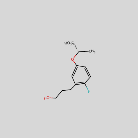 C[C@H](Oc1ccc(F)c(CCCO)c1)C(=O)O